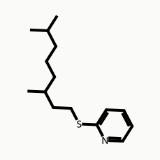 CC(C)CCCC(C)CCSc1ccccn1